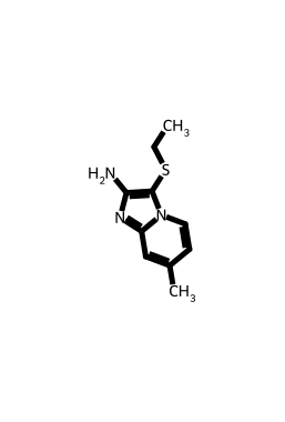 CCSc1c(N)nc2cc(C)ccn12